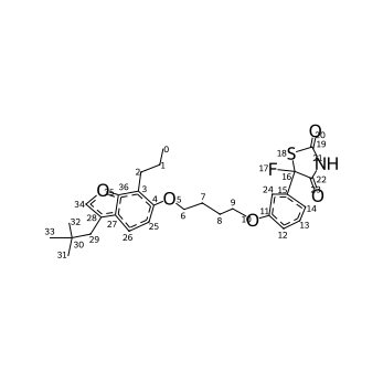 CCCc1c(OCCCCOc2cccc(C3(F)SC(=O)NC3=O)c2)ccc2c(CC(C)(C)C)coc12